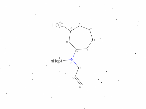 C=CCN(CCCCCCC)C1CCCCC(C(=O)O)C1